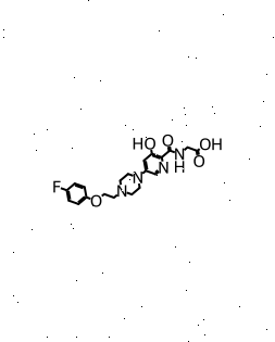 O=C(O)CNC(=O)c1ncc(N2CCN(CCOc3ccc(F)cc3)CC2)cc1O